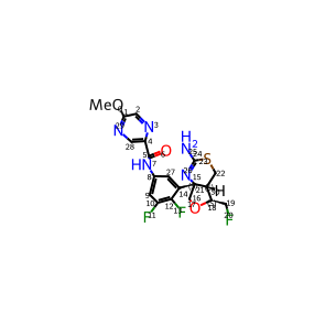 COc1cnc(C(=O)Nc2cc(F)c(F)c([C@]34CO[C@H](CF)[C@H]3CSC(N)=N4)c2)cn1